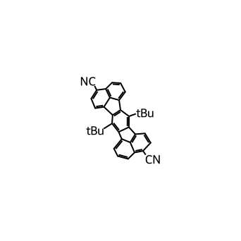 CC(C)(C)c1c2c3cccc4c(C#N)ccc(c2c(C(C)(C)C)c2c5cccc6c(C#N)ccc(c12)c65)c43